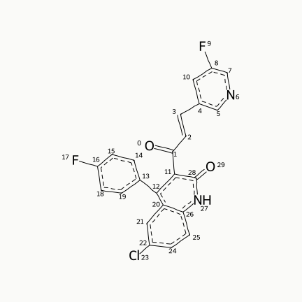 O=C(/C=C/c1cncc(F)c1)c1c(-c2ccc(F)cc2)c2cc(Cl)ccc2[nH]c1=O